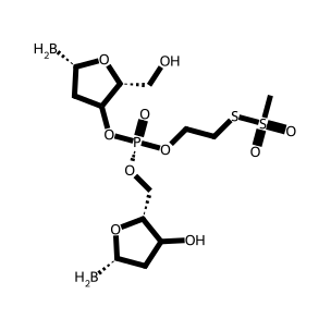 B[C@H]1CC(O)[C@@H](CO[P@](=O)(OCCSS(C)(=O)=O)OC2C[C@H](B)O[C@@H]2CO)O1